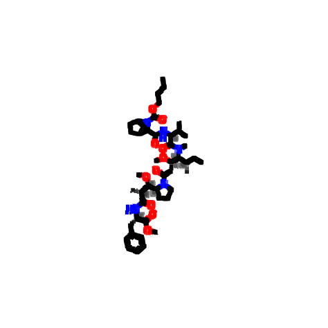 CCCCOC(=O)N1C2CCC(C2)C1C(=O)N[C@H](C(=O)N(C)[C@H]([C@H](CC(=O)N1CCC[C@H]1[C@H](OC)[C@@H](C)C(=O)N[C@@H](Cc1ccccc1)C(=O)OC)OC)[C@@H](C)CC)C(C)C